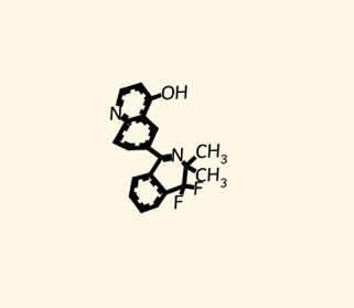 CC1(C)N=C(c2ccc3nccc(O)c3c2)c2ccccc2C1(F)F